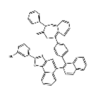 C=C1CC(c2ccc(-c3c(-c4cc5nc(-c6cccc(C#N)c6)oc5c5ccccc45)ccc4ccccc34)cc2)=c2ccccc2=CC1c1ccccc1